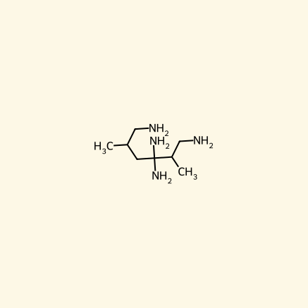 CC(CN)CC(N)(N)C(C)CN